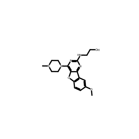 COc1ccc2oc3c(N4CCN(C)CC4)nc(NCCO)nc3c2c1